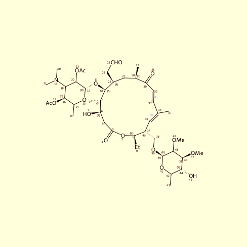 CC[C@H]1OC(=O)C[C@@H](O)[C@H](C)[C@@H](O[C@@H]2OC(C)[C@@H](OC(C)=O)C(N(C)C)C2OC(C)=O)[C@@H](CC=O)C[C@@H](C)C(=O)/C=C/C(C)=C/[C@@H]1CO[C@@H]1OC(C)[C@@H](O)[C@H](OC)C1OC